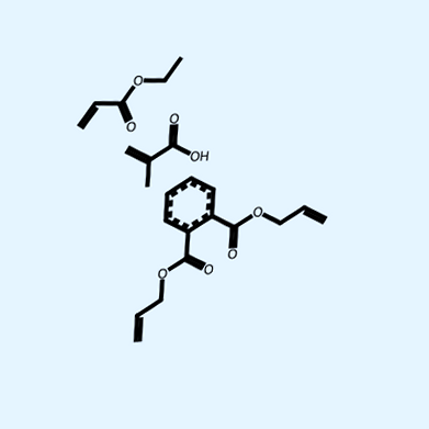 C=C(C)C(=O)O.C=CC(=O)OCC.C=CCOC(=O)c1ccccc1C(=O)OCC=C